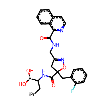 CC(C)CC(NC(=O)C1(Cc2ccccc2F)CC(CNC(=O)c2nccc3ccccc23)=NO1)B(O)O